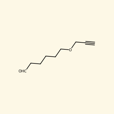 C#CCOCCCCCC=O